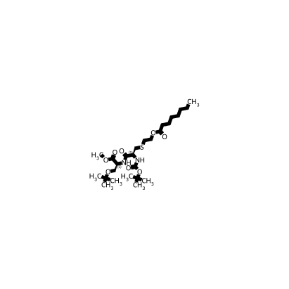 CCCCCCCC(=O)OCCSC[C@@H](NC(=O)OC(C)(C)C)C(=O)N[C@@H](COC(C)(C)C)C(=O)OC